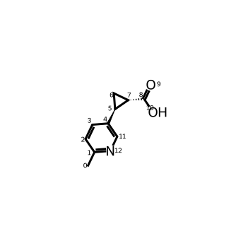 Cc1ccc([C@H]2C[C@@H]2C(=O)O)cn1